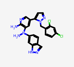 Nc1ncc(-c2ccnn2Cc2ccc(Cl)cc2Cl)cc1N(N)c1ccc2cn[nH]c2c1